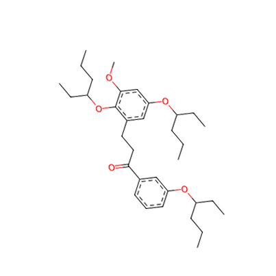 CCCC(CC)Oc1cccc(C(=O)CCc2cc(OC(CC)CCC)cc(OC)c2OC(CC)CCC)c1